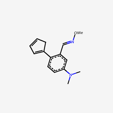 CON=Cc1cc(N(C)C)ccc1C1=CC=CC1